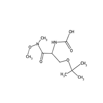 CON(C)C(=O)C(COC(C)(C)C)NC(=O)O